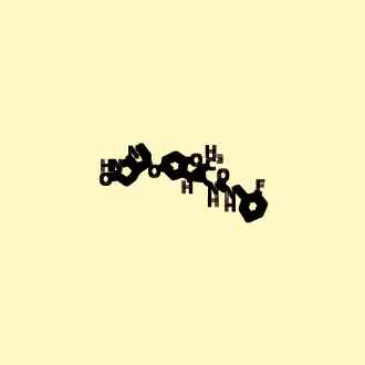 CC12Oc3ccc(Oc4ccnc5c4CCC(=O)N5)cc3[C@H]1[C@@H]2NC(=O)NCc1ccccc1F